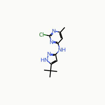 Cc1cc(Nc2cc(C(C)(C)C)[nH]n2)nc(Cl)n1